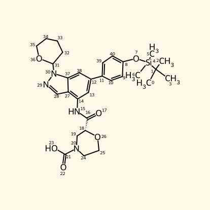 CC(C)(C)[Si](C)(C)Oc1ccc(-c2cc(NC(=O)[C@H]3CN(C(=O)O)CCO3)c3cnn(C4CCCCO4)c3c2)cc1